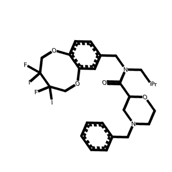 CC(C)CN(Cc1ccc2c(c1)OCC(F)(I)C(F)(I)CO2)C(=O)C1CN(Cc2ccccc2)CCO1